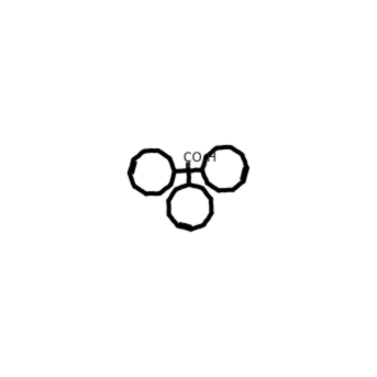 O=C(O)C(C1CCCC=CCCCC1)(C1CCCC=CCCCC1)C1CCCC=CCCCC1